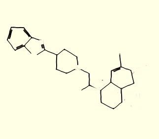 CC(=O)O[C@@H]1[CH][C@@]2(O)[C@H](C)CC[C@@H](C(C)CN3CCC(c4nc5ccccc5o4)CC3)[C@H]2C=C1C